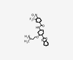 CN(C)CCOc1cc(NC(=O)c2ccc([N+](=O)[O-])c(C(F)(F)F)c2)ccc1-c1nc2ccccc2s1